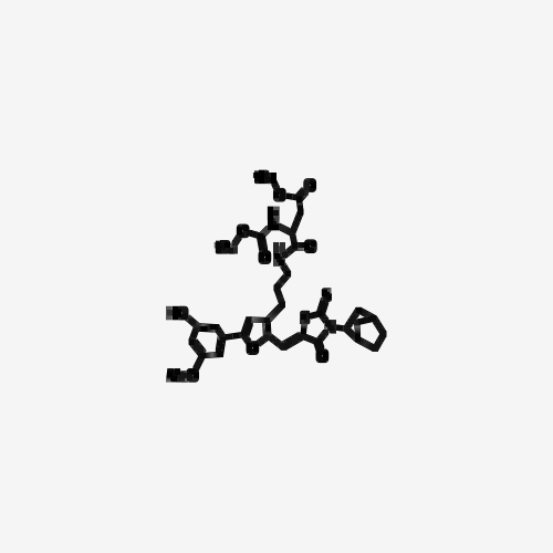 COc1cc(O)cc(-c2cc(CCCNC(=O)C(CC(=O)OC(C)(C)C)NC(=O)OC(C)(C)C)c(C=C3SC(=S)N(C4CC5CCC4C5)C3=O)o2)c1